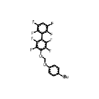 CCC(C)c1ccc(OCOc2c(F)c(F)c(-c3c(F)c(F)cc(F)c3F)c(F)c2F)cc1